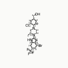 C[C@H]1CN(c2ncc(CO)cc2Cl)CCN1c1nc2c(Br)cc(C(F)(F)F)cc2[nH]1